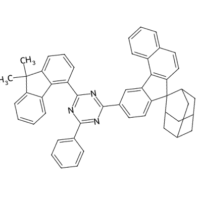 CC1(C)c2ccccc2-c2c(-c3nc(-c4ccccc4)nc(-c4ccc5c(c4)-c4c(ccc6ccccc46)C54C5CC6CC(C5)CC4C6)n3)cccc21